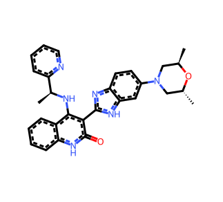 C[C@@H]1CN(c2ccc3nc(-c4c(N[C@@H](C)c5ccccn5)c5ccccc5[nH]c4=O)[nH]c3c2)C[C@@H](C)O1